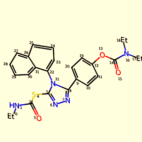 CCNC(=O)Sc1nnc(-c2ccc(OC(=O)N(CC)CC)cc2)n1-c1cccc2ccccc12